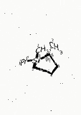 CC(C)[Si]1(C)CCC[C@H]1C